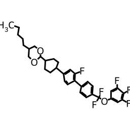 CCCCCC1COC(C2CCC(c3ccc(-c4ccc(C(F)(F)Oc5cc(F)c(F)c(F)c5)cc4)c(F)c3)CC2)OC1